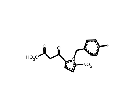 O=C(O)C(=O)CC(=O)c1ccc([N+](=O)[O-])n1Cc1ccc(F)cc1